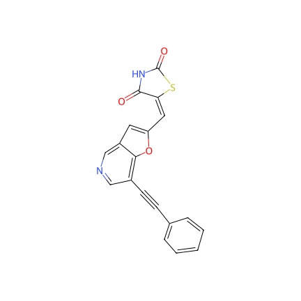 O=C1NC(=O)/C(=C\c2cc3cncc(C#Cc4ccccc4)c3o2)S1